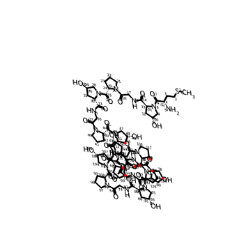 CSCC[C@H](N)C(=O)N1C[C@H](O)C[C@H]1C(=O)NCC(=O)N1CCC[C@H]1C(=O)N1C[C@H](O)C[C@H]1C(=O)NCC(=O)N1CCC[C@H]1C(=O)N1C[C@H](O)C[C@H]1C(=O)NCC(=O)N1CCC[C@H]1C(=O)N1C[C@H](O)C[C@H]1C(=O)NCC(=O)N1CCC[C@H]1C(=O)N1C[C@H](O)C[C@H]1C(=O)NCC(=O)N1CCC[C@H]1C(=O)N1C[C@H](O)C[C@H]1C(=O)NCC(=O)N1CCC[C@H]1C(=O)N1C[C@H](O)C[C@H]1C(=O)NCC(=O)O